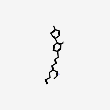 C=CCCC(/C=C\C)=C/C=CCc1ccc(-c2ccc(C)cc2)c(F)c1